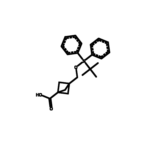 CC(C)(C)[Si](OCC12CC(C(=O)O)(C1)C2)(c1ccccc1)c1ccccc1